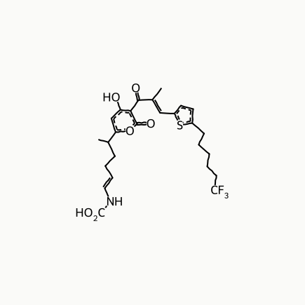 CC(=Cc1ccc(CCCCCC(F)(F)F)s1)C(=O)c1c(O)cc(C(C)CCC=CNC(=O)O)oc1=O